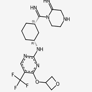 N=C1CNCCN1C(=N)[C@H]1CCC[C@@H](Nc2ncc(C(F)(F)F)c(OC3COC3)n2)C1